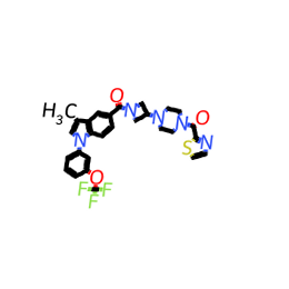 Cc1cn(-c2cccc(OC(F)(F)F)c2)c2ccc(C(=O)N3CC(N4CCN(C(=O)c5nccs5)CC4)C3)cc12